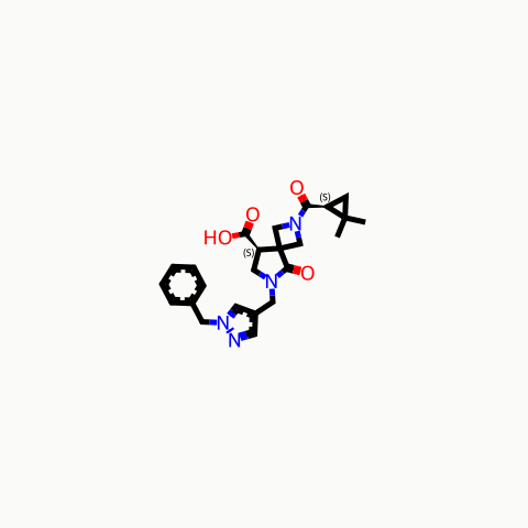 CC1(C)C[C@@H]1C(=O)N1CC2(C1)C(=O)N(Cc1cnn(Cc3ccccc3)c1)C[C@H]2C(=O)O